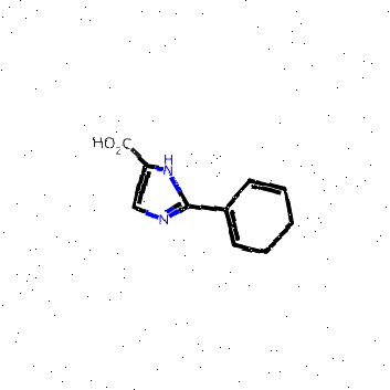 O=C(O)c1cnc(C2=CCCC=C2)[nH]1